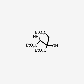 CCOC(=O)CC(O)(CC(=O)OCC)C(=O)OCC.N